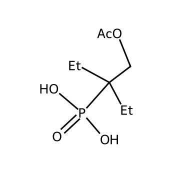 CCC(CC)(COC(C)=O)P(=O)(O)O